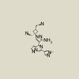 Cn1cc(-c2cn3nccc3c(-c3cn([C@]4(CC#N)C[C@H](CC#N)C4)nc3N)n2)cn1